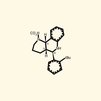 CC(C)(C)c1ccccc1[C@@H]1Nc2ccccc2[C@@H]2[C@H]1CCCN2C(=O)O